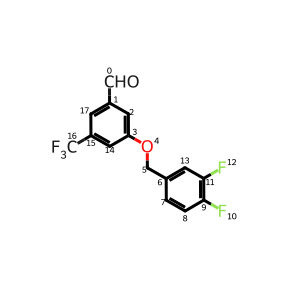 O=Cc1cc(OCc2ccc(F)c(F)c2)cc(C(F)(F)F)c1